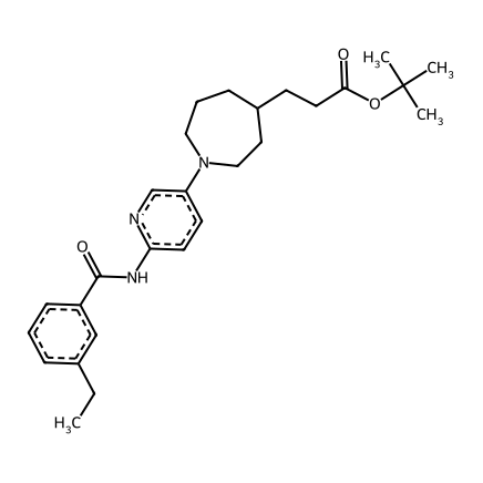 CCc1cccc(C(=O)Nc2ccc(N3CCCC(CCC(=O)OC(C)(C)C)CC3)cn2)c1